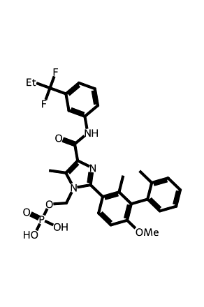 CCC(F)(F)c1cccc(NC(=O)c2nc(-c3ccc(OC)c(-c4ccccc4C)c3C)n(COP(=O)(O)O)c2C)c1